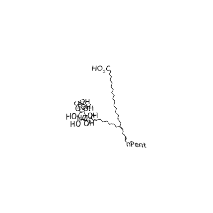 CCCCCC=CCC=C(CCCCCCCCCCCCCCCC=CC(=O)O)CCCCCCCC(=O)O.O=P(O)(O)OC1C(O)C(O)C(O)C(O)C1O